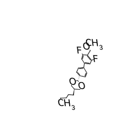 CCCCC[C@H]1CO[C@H](c2ccc(-c3cc(F)c(COC)c(F)c3)cc2)OC1